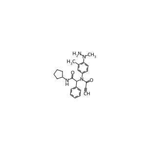 C#CC(=O)N(c1ccc(N(C)N)c(C)c1)C(C(=O)NC1CCCC1)c1ccccc1